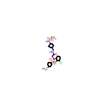 Cc1ccc(S(=O)(=O)N(CC(=O)NCc2ccc(NS(C)(=O)=O)cc2)c2cccc(Cl)c2C)cc1